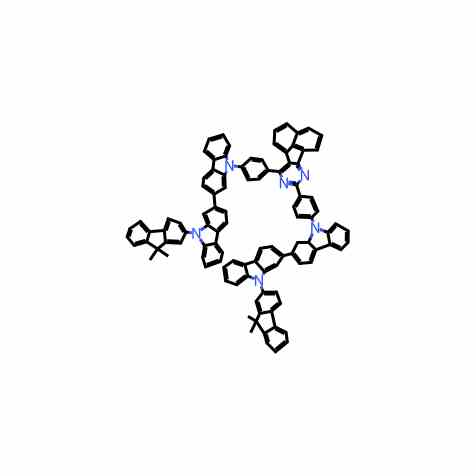 CC1(C)c2ccccc2-c2ccc(-n3c4ccccc4c4ccc(C5=CC=C6c7ccccc7N(c7ccc(-c8nc(-c9ccc(-n%10c%11ccccc%11c%11ccc(-c%12ccc%13c%14ccccc%14n(-c%14ccc%15c(c%14)C(C)(C)c%14ccccc%14-%15)c%13c%12)cc%11%10)cc9)c9c(n8)-c8cccc%10cccc-9c8%10)cc7)C6C5)cc43)cc21